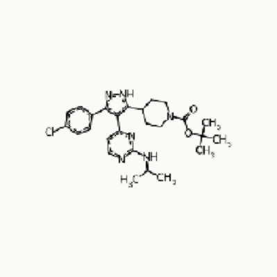 CC(C)Nc1nccc(-c2c(-c3ccc(Cl)cc3)n[nH]c2C2CCN(C(=O)OC(C)(C)C)CC2)n1